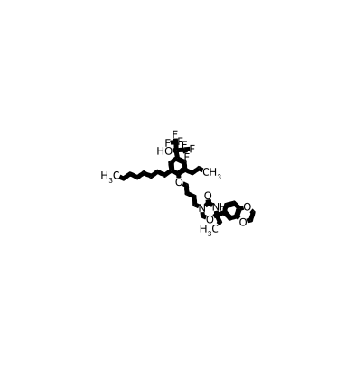 CCCCCCCCc1cc(C(O)(C(F)(F)F)C(F)(F)F)cc(CCC)c1OCCCCN1COC(CC)(c2ccc3c(c2)OCCO3)NC1=O